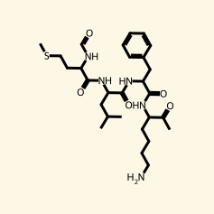 CSCCC(NC=O)C(=O)NC(CC(C)C)C(=O)NC(Cc1ccccc1)C(=O)NC(CCCCN)C(C)=O